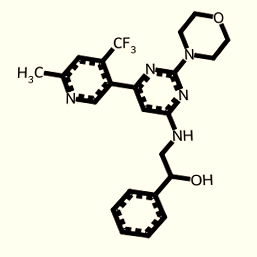 Cc1cc(C(F)(F)F)c(-c2cc(NCC(O)c3ccccc3)nc(N3CCOCC3)n2)cn1